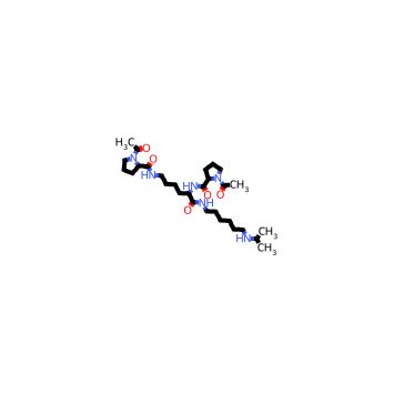 CC(=O)N1CCCC1C(=O)NCCCCC(NC(=O)C1CCCN1C(C)=O)C(=O)NCCCCCCNC(C)C